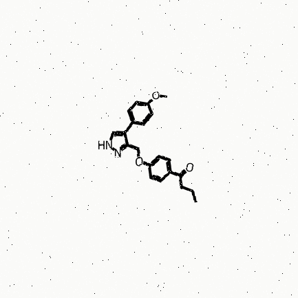 CCCC(=O)c1ccc(OCc2n[nH]cc2-c2ccc(OC)cc2)cc1